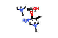 C=CC(N)=O.CCO.CN(C)C.CN(C)C